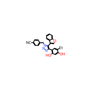 CCc1cc(-c2nnn(Cc3ccc(C#N)cc3)c2-c2coc3ccccc23)c(O)cc1O